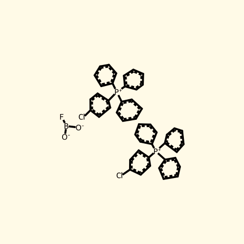 Clc1ccc([P+](c2ccccc2)(c2ccccc2)c2ccccc2)cc1.Clc1ccc([P+](c2ccccc2)(c2ccccc2)c2ccccc2)cc1.[O-]B([O-])F